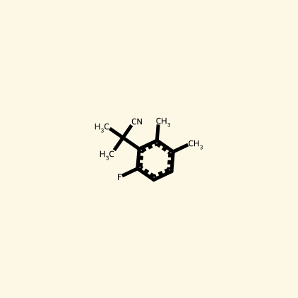 Cc1ccc(F)c(C(C)(C)C#N)c1C